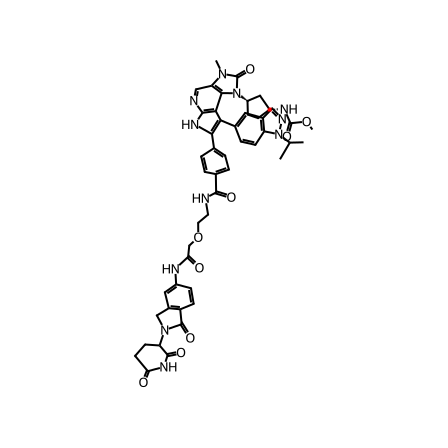 COC(=O)N[C@@H]1CC[C@@H](n2c(=O)n(C)c3cnc4[nH]c(-c5ccc(C(=O)NCCOCC(=O)Nc6ccc7c(c6)CN(C6CCC(=O)NC6=O)C7=O)cc5)c(-c5ccc6c(cnn6C(C)C)c5)c4c32)C1